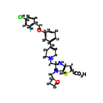 O=C(O)c1cc2nc(CN3CC=C(c4cccc(OCc5ccc(Cl)cc5F)c4)CC3)n(CC3CCO3)c2s1